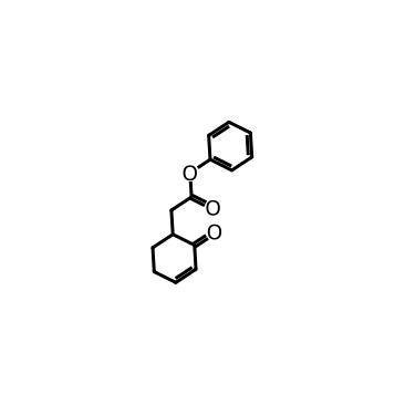 O=C(CC1CCC=CC1=O)Oc1ccccc1